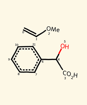 C=COC.O=C(O)C(O)c1ccccc1